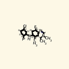 CCN(C)/C=N\c1cc(C)c(Nc2cc(Cl)ccc2F)cc1F